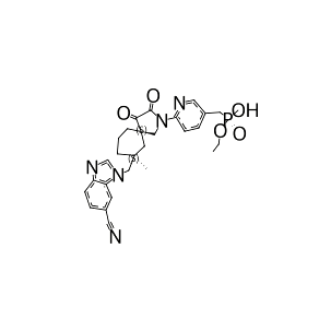 CCOP(=O)(O)Cc1ccc(N2C[C@@]3(CCC[C@](C)(Cn4cnc5ccc(C#N)cc54)C3)C(=O)C2=O)nc1